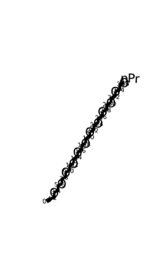 C#CCOCCOCCOCCOCCOCCOCCOCCOCCOCCOCCOCCOCCC